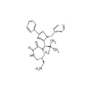 CC(C)(C)[C@H](c1nc(-c2ccccc2)cn1Cc1ccccc1)N1C[C@@H](CN)CNC(=O)C1=O